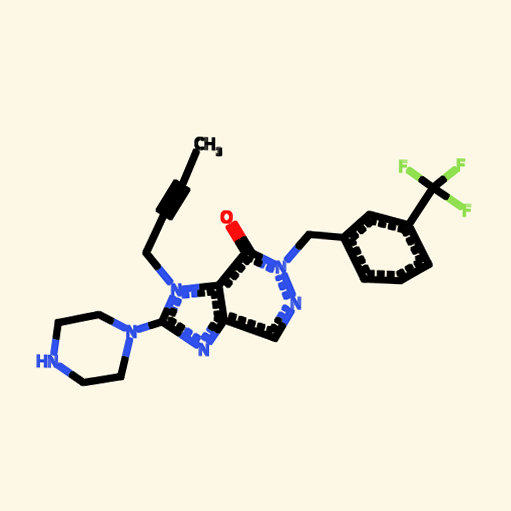 CC#CCn1c(N2CCNCC2)nc2cnn(Cc3cccc(C(F)(F)F)c3)c(=O)c21